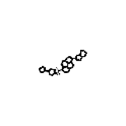 c1ccc(-c2ccc3oc(-c4ccc5ccc6c(-c7ccc8ccccc8c7)ccc7ccc4c5c76)nc3c2)cc1